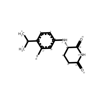 CC(C)c1ccc(N[C@H]2CCC(=O)NC2=O)cc1F